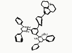 CCCCN1C(c2ccccc2)CC(c2ccccc2)NC1c1cc(-c2ccc(-c3cc4c5c(c3)CCCN5CCC4)cc2)cc(C2NC(c3ccccc3)CC(c3ccccc3)N2)c1